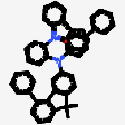 CC1(C)c2ccc(N(c3ccc(-c4ccccc4)cc3)c3ccccc3-n3c4ccccc4c4ccccc43)cc2-c2c(-c3ccccc3)cccc21